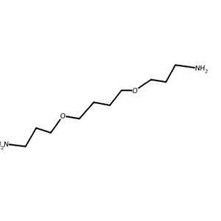 NCCCOCCCCOCCCN